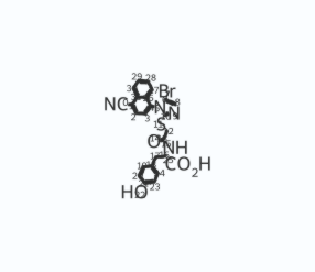 N#Cc1ccc(-n2c(Br)cnc2SCC(=O)NC(Cc2ccc(O)cc2)C(=O)O)c2ccccc12